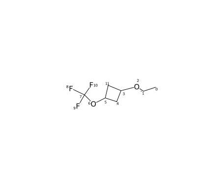 C[CH]OC1CC(OC(F)(F)F)C1